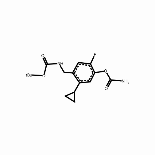 CC(C)(C)OC(=O)NCc1cc(F)c(OC(N)=O)cc1C1CC1